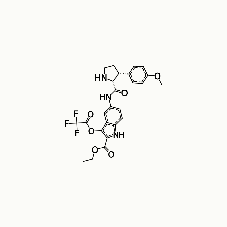 CCOC(=O)c1[nH]c2ccc(NC(=O)[C@@H]3NCC[C@@H]3c3ccc(OC)cc3)cc2c1OC(=O)C(F)(F)F